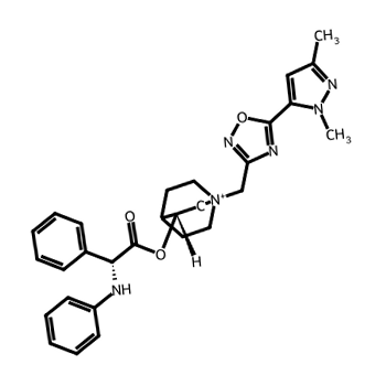 Cc1cc(-c2nc(C[N+]34CCC(CC3)[C@@H](OC(=O)[C@H](Nc3ccccc3)c3ccccc3)C4)no2)n(C)n1